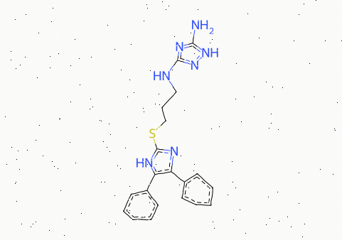 Nc1nc(NCCCSc2nc(-c3ccccc3)c(-c3ccccc3)[nH]2)n[nH]1